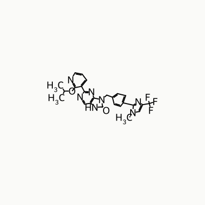 CC(C)Oc1ncccc1-c1ncc2[nH]c(=O)n(Cc3ccc(-c4nc(C(F)(F)F)cn4C)cc3)c2n1